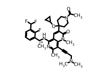 CC(=O)N1CCC(OC2CC2)(c2cc3c(N[C@H](C)c4cccc(C(F)F)c4F)nc(C)c(C#CCN(C)C)c3n(C)c2=O)CC1